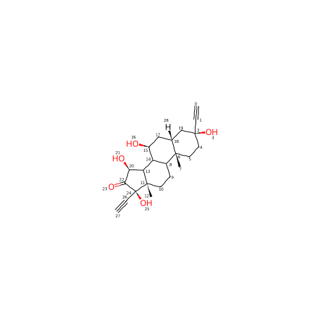 C#C[C@]1(O)CC[C@]2(C)C3CC[C@@]4(C)C(C3[C@@H](O)C[C@@H]2C1)[C@H](O)C(=O)[C@@]4(O)C#C